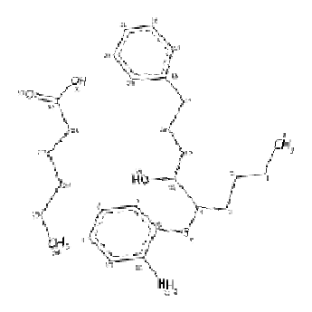 CCCCC(Sc1ccccc1N)C(O)CCCc1ccccc1.CCCCCC(=O)O